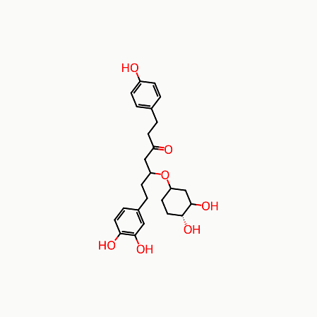 O=C(CCc1ccc(O)cc1)CC(CCc1ccc(O)c(O)c1)OC1CC[C@@H](O)C(O)C1